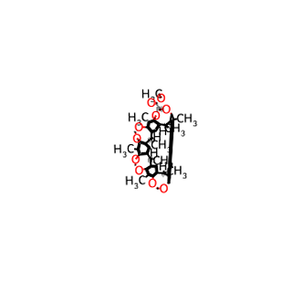 COC(=O)[C@H]1Oc2c3cc4c(c2C)OCOc2c(cc5c(c2C)OCOc2c(cc6c(c2C)OCOC2=C(C)C(O1)C(C=C2[C@H]6C)[C@@H]3C)[C@H]5C)[C@H]4C